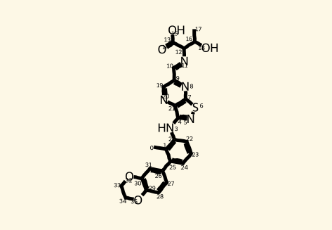 Cc1c(Nc2nsc3nc(C=NC(C(=O)O)C(C)O)cnc23)cccc1-c1ccc2c(c1)OCCO2